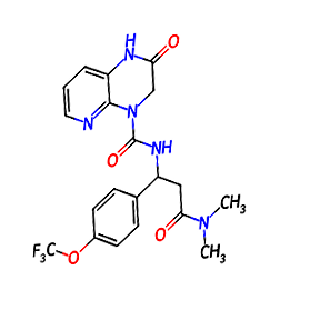 CN(C)C(=O)CC(NC(=O)N1CC(=O)Nc2cccnc21)c1ccc(OC(F)(F)F)cc1